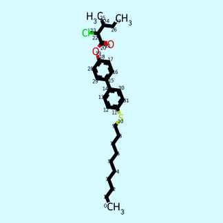 CCCCCCCCCCSc1ccc(-c2ccc(OC(=O)C(Cl)C(C)CC)cc2)cc1